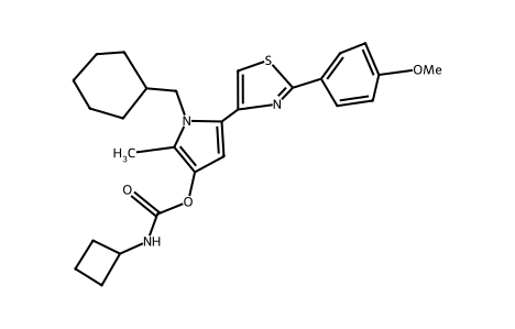 COc1ccc(-c2nc(-c3cc(OC(=O)NC4CCC4)c(C)n3CC3CCCCC3)cs2)cc1